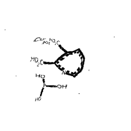 O=C(O)c1cccnc1C(=O)O.OP(O)O.[Cu].[KH]